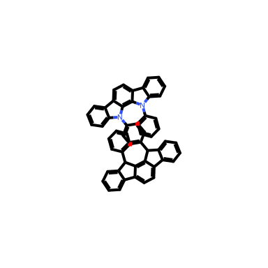 c1ccc(C2c3ccccc3-c3ccc4c(c32)C(c2ccc(-n3c5ccccc5c5ccc6c7ccccc7n(-c7ccccc7)c6c53)cc2)c2ccccc2-4)cc1